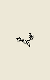 CCOC[C@@]1(CCc2ccnc(OC)c2)CCN(C(C)(C)c2ccc(C)nc2)C1